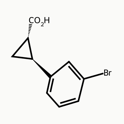 O=C(O)[C@H]1C[C@@H]1c1cccc(Br)c1